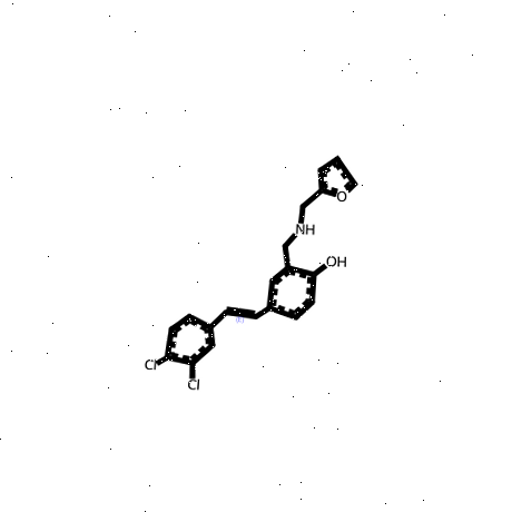 Oc1ccc(/C=C/c2ccc(Cl)c(Cl)c2)cc1CNCc1ccco1